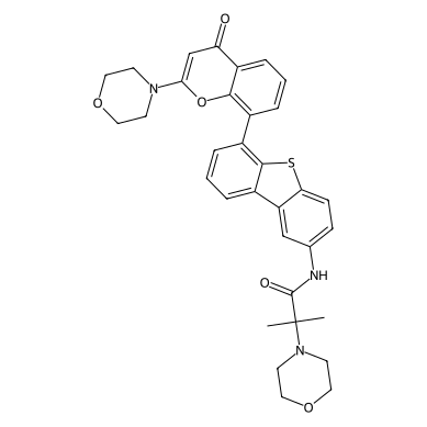 CC(C)(C(=O)Nc1ccc2sc3c(-c4cccc5c(=O)cc(N6CCOCC6)oc45)cccc3c2c1)N1CCOCC1